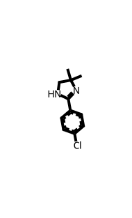 CC1(C)CNC(c2ccc(Cl)cc2)=N1